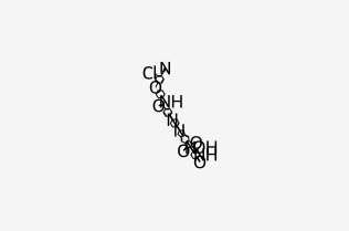 N#Cc1ccc(O[C@H]2CC[C@H](NC(=O)c3ccc(N4CCC(N5Cc6cc7c(cc6C5)C(=O)N(C5CCC(=O)NC5O)C7=O)CC4)cc3)CC2)cc1Cl